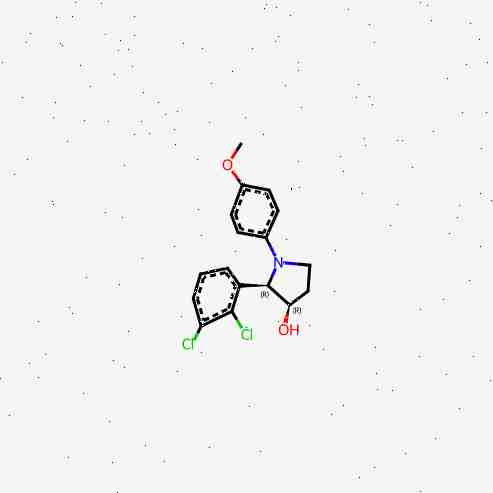 COc1ccc(N2CC[C@@H](O)[C@H]2c2cccc(Cl)c2Cl)cc1